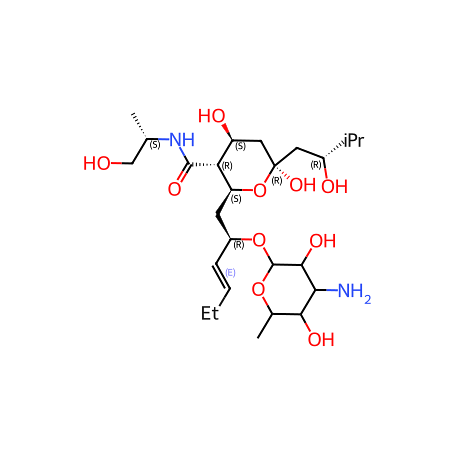 CC/C=C/[C@@H](C[C@@H]1O[C@](O)(C[C@@H](O)C(C)C)C[C@H](O)[C@H]1C(=O)N[C@@H](C)CO)OC1OC(C)C(O)C(N)C1O